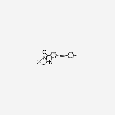 Cc1ccc(C#Cc2ccc3c(=O)n4c(nc3c2)CCC(C)(C)C4)cc1